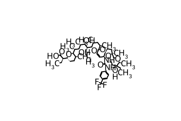 CC[C@@H](C(=O)O)[C@H]1CC[C@H](C)[C@H]([C@@H](C)[C@H](O)[C@H](C)C(O)[C@H](CC)[C@H]2O[C@]3(C=CC(NC(=O)Nc4ccc(C(F)(F)F)cc4)[C@]4(CC[C@@](C)([C@H]5CC[C@](O)(CC)[C@H](C)O5)O4)O3)[C@H](C)C[C@@H]2C)O1